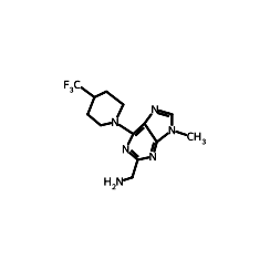 Cn1cnc2c(N3CCC(C(F)(F)F)CC3)nc(CN)nc21